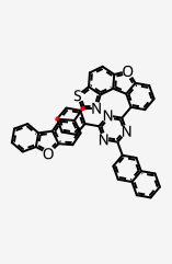 c1ccc(-c2nc(-c3ccc4ccccc4c3)nc(-c3cccc4oc5ccc6sc(-c7ccc8oc9ccccc9c8c7)nc6c5c34)n2)cc1